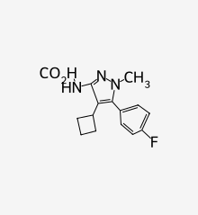 Cn1nc(NC(=O)O)c(C2CCC2)c1-c1ccc(F)cc1